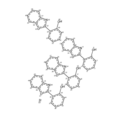 Oc1ccccc1-c1nc2ccccc2o1.Oc1ccccc1-c1nc2ccccc2o1.Oc1ccccc1-c1nc2ccccc2o1.Oc1ccccc1-c1nc2ccccc2o1.[Zr]